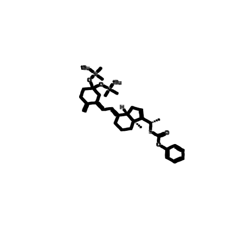 C=C1CCC(O[Si](C)(C)C(C)(C)C)(O[Si](C)(C)C(C)(C)C)CC1=CC=C1CCC[C@]2(C)C([C@H](C)SC(=O)Oc3ccccc3)=CC[C@@H]12